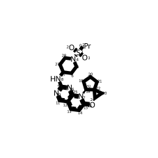 CC(C)S(=O)(=O)N1CCC(Nc2ncc3ccc(=O)n([C@H]4CCCC45CC5)c3n2)CC1